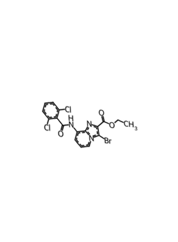 CCOC(=O)c1nc2c(NC(=O)c3c(Cl)cccc3Cl)cccn2c1Br